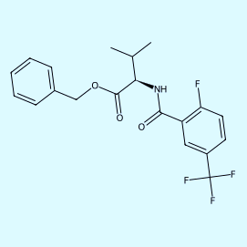 CC(C)[C@@H](NC(=O)c1cc(C(F)(F)F)ccc1F)C(=O)OCc1ccccc1